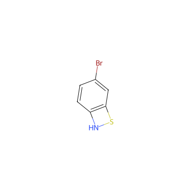 Brc1ccc2[nH]sc2c1